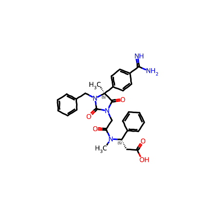 CN(C(=O)CN1C(=O)N(Cc2ccccc2)[C@@](C)(c2ccc(C(=N)N)cc2)C1=O)[C@@H](CC(=O)O)c1ccccc1